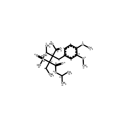 CCC(Cc1ccc(OC)c(OC)c1)(C(=O)O)C(CC)(C(=O)OC(C)C)P(=O)(O)O